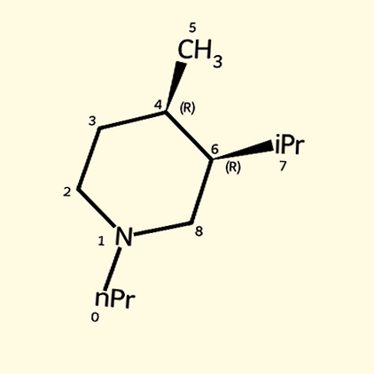 CCCN1CC[C@@H](C)[C@@H](C(C)C)C1